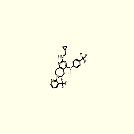 FC(F)(F)c1ccc(Nc2nc(NCC3CC3)nc3c2CCN(c2ncccc2C(F)(F)F)CC3)cc1